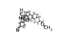 CCOCC1CCC2C(CCC3C2CCC2(C)C3CCC2[C@@H](C)N2Cc3cc(C#N)ccc3C2=O)C1